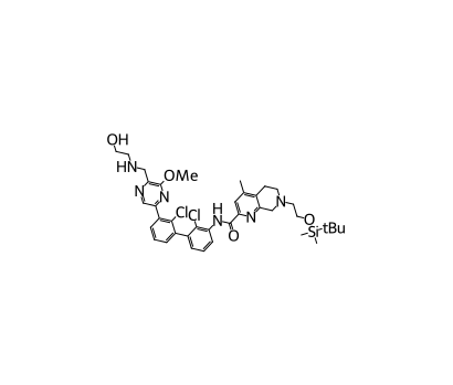 COc1nc(-c2cccc(-c3cccc(NC(=O)c4cc(C)c5c(n4)CN(CCO[Si](C)(C)C(C)(C)C)CC5)c3Cl)c2Cl)cnc1CNCCO